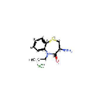 CCOC(=O)CN1C(=O)C(N)CSc2ccccc21.Cl